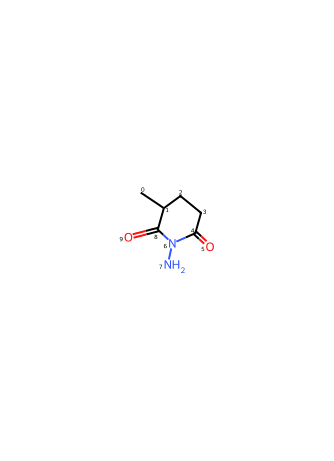 CC1CCC(=O)N(N)C1=O